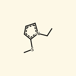 CCn1cccc1SC